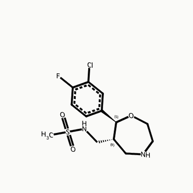 CS(=O)(=O)NC[C@H]1CNCCO[C@@H]1c1ccc(F)c(Cl)c1